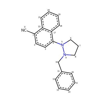 N#Cc1ccc(N2CCCN2Cc2ccccc2)c2ccccc12